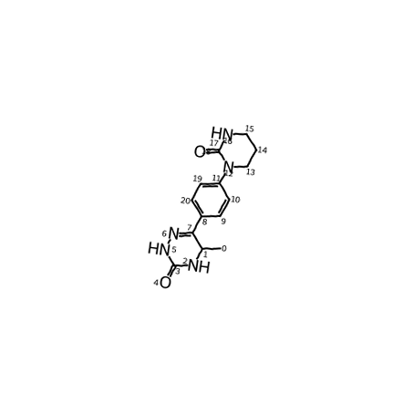 CC1NC(=O)NN=C1c1ccc(N2CCCNC2=O)cc1